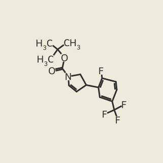 CC(C)(C)OC(=O)N1C=CC(c2cc(C(F)(F)F)ccc2F)C1